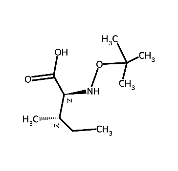 CC[C@H](C)[C@H](NOC(C)(C)C)C(=O)O